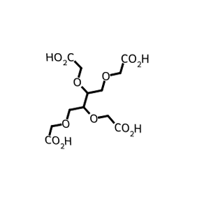 O=C(O)COCC(OCC(=O)O)C(COCC(=O)O)OCC(=O)O